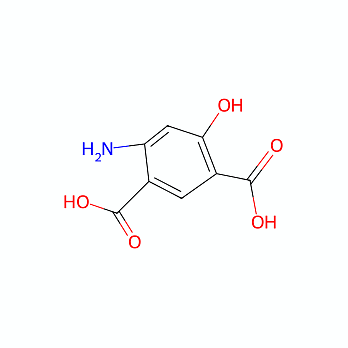 Nc1cc(O)c(C(=O)O)cc1C(=O)O